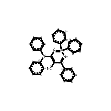 N#CC1=C(N(c2ccccc2)c2ccccc2)N=P(c2ccccc2)(c2ccccc2)N=C1c1ccccc1